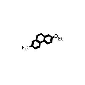 CCOc1ccc2c(c1)CCc1cc(C(F)(F)F)ccc1-2